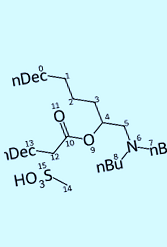 CCCCCCCCCCCCCC(CN(CCCC)CCCC)OC(=O)CCCCCCCCCCC.CS(=O)(=O)O